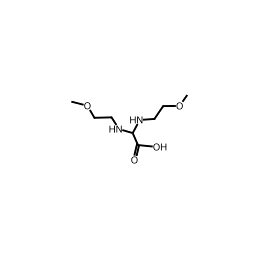 COCCNC(NCCOC)C(=O)O